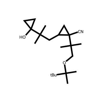 CC(C)(C)C(C)(C)OCC(C)(C)C1(C#N)CC1CC(C)(C)C1(O)CC1